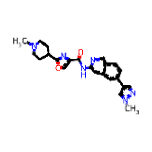 CN1CCC(c2nc(C(=O)Nc3cc4cc(-c5cnn(C)c5)ccc4cn3)co2)CC1